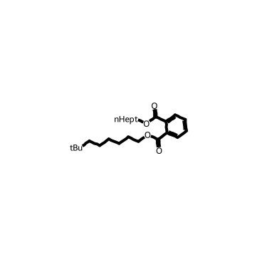 CCCCCCCOC(=O)c1ccccc1C(=O)OCCCCCCC(C)(C)C